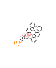 CC(C)(P)C(C)(C)OBc1cccc2c1C1(c3ccccc3-c3ccccc31)c1ccccc1C21c2ccccc2-c2ccccc21